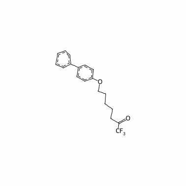 O=C(CCCCCOc1ccc(-c2ccccc2)cc1)C(F)(F)F